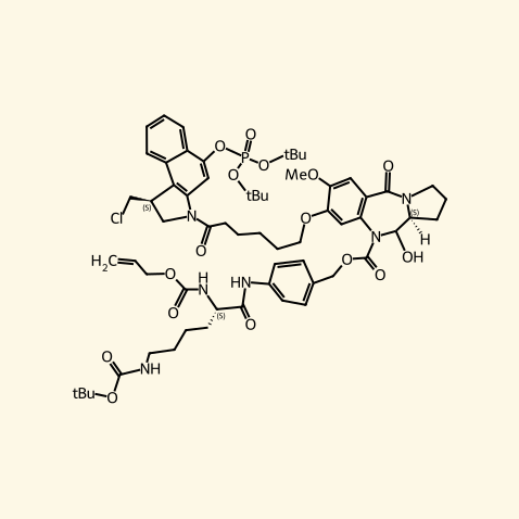 C=CCOC(=O)N[C@@H](CCCCNC(=O)OC(C)(C)C)C(=O)Nc1ccc(COC(=O)N2c3cc(OCCCCCC(=O)N4C[C@@H](CCl)c5c4cc(OP(=O)(OC(C)(C)C)OC(C)(C)C)c4ccccc54)c(OC)cc3C(=O)N3CCC[C@H]3C2O)cc1